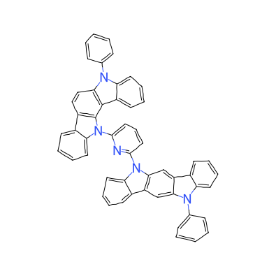 c1ccc(-n2c3ccccc3c3cc4c(cc32)c2ccccc2n4-c2cccc(-n3c4ccccc4c4ccc5c(c6ccccc6n5-c5ccccc5)c43)n2)cc1